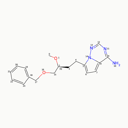 CO[C@@H](CCc1ccc2c(N)ncnn12)COCc1ccccc1